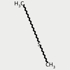 CCCCCCCCCCCCCCCCCCCCCCCCSCCCCCCCCCCCC